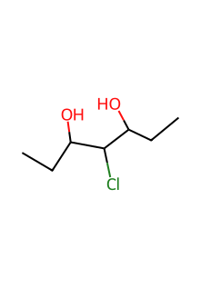 CCC(O)C(Cl)C(O)CC